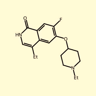 CCc1c[nH]c(=O)c2cc(F)c(OC3CCN(CC)CC3)cc12